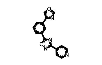 c1cc(-c2cocn2)cc(-c2nc(-c3ccncc3)no2)c1